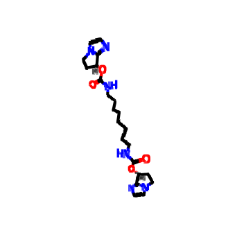 O=C(NCCCCCCCCNC(=O)O[C@@H]1CCn2ccnc21)O[C@@H]1CCn2ccnc21